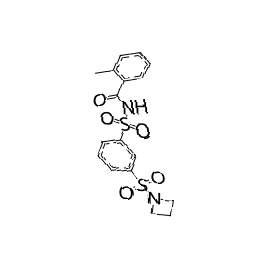 Cc1ccccc1C(=O)NS(=O)(=O)c1cccc(S(=O)(=O)N2CCC2)c1